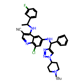 CC(Nc1c(C#N)cnc2c(Cl)cc(NC(c3ccccc3)c3cn(C4CCN(C(C)(C)C)CC4)nn3)cc12)c1cccc(F)c1